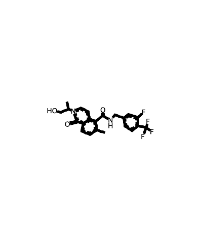 Cc1ccc2c(=O)n(C(C)CO)ccc2c1C(=O)NCc1ccc(C(F)(F)F)c(F)c1